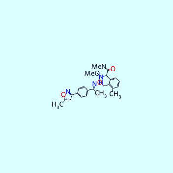 CNC(=O)C(NOC)c1cccc(C)c1CO/N=C(\C)c1ccc(-c2cc(C)on2)cc1